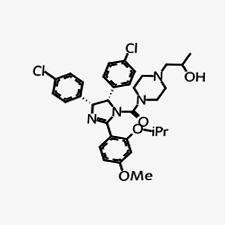 COc1ccc(C2=N[C@H](c3ccc(Cl)cc3)[C@H](c3ccc(Cl)cc3)N2C(=O)N2CCN(CC(C)O)CC2)c(OC(C)C)c1